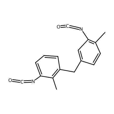 Cc1ccc(Cc2cccc(N=C=O)c2C)cc1N=C=O